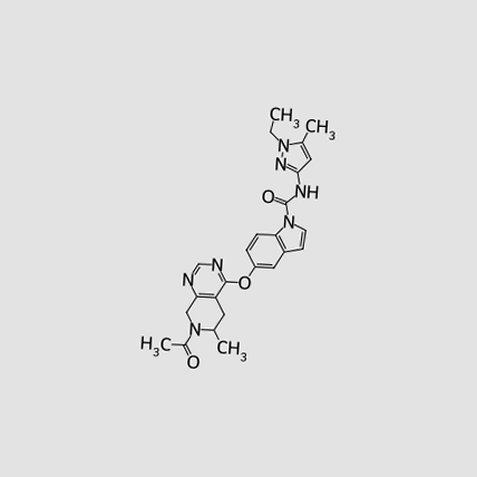 CCn1nc(NC(=O)n2ccc3cc(Oc4ncnc5c4CC(C)N(C(C)=O)C5)ccc32)cc1C